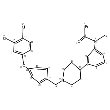 CC(C)C(=O)N(C)c1cccc(C2CCN(Cc3ccc(Oc4ccc(Cl)c(Cl)c4)cc3)CC2)c1